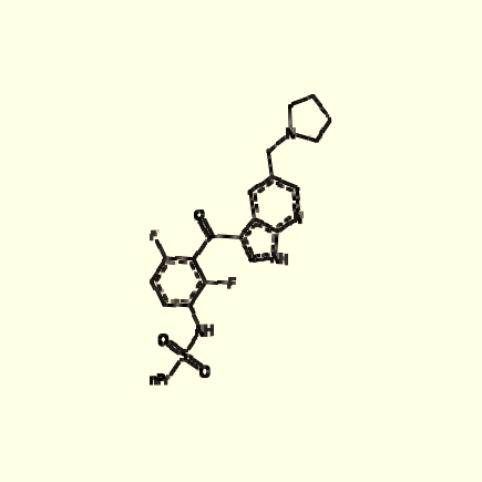 CCCS(=O)(=O)Nc1ccc(F)c(C(=O)c2c[nH]c3ncc(CN4CCCC4)cc23)c1F